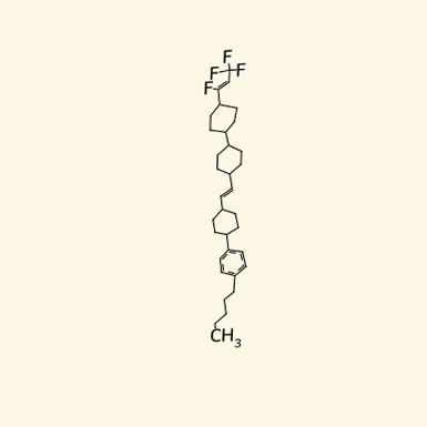 CCCCCc1ccc(C2CCC(/C=C/C3CCC(C4CCC(/C(F)=C/C(F)(F)F)CC4)CC3)CC2)cc1